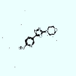 CC(C)(C)c1ccc(-c2nnc(N3CCOCC3)o2)cn1